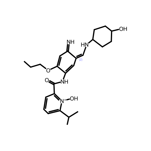 CCCOC1=CC(=N)/C(=C\NC2CCC(O)CC2)C=C1NC(=O)c1cccc(C(C)C)[n+]1O